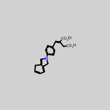 CCOC(=O)C(=Cc1ccc(N2C=C3CC=CC=C3C2)cc1)CC(=O)O